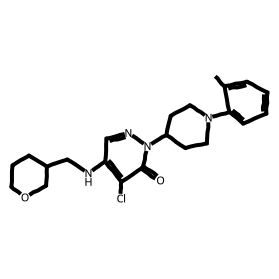 Cc1ccccc1N1CCC(n2ncc(NCC3CCCOC3)c(Cl)c2=O)CC1